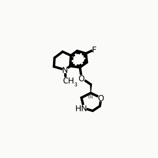 CN1CCCc2cc(F)cc(OC[C@@H]3CNCCO3)c21